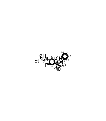 CCN(C)/C=N/c1cc(C)c(C2(OC(=O)c3ccccc3)COC2)cc1F